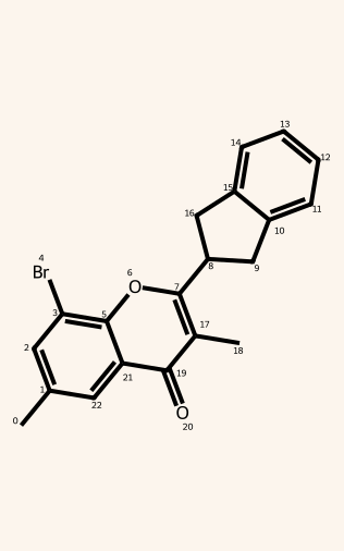 Cc1cc(Br)c2oc(C3Cc4ccccc4C3)c(C)c(=O)c2c1